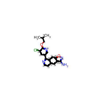 CC(C)COc1ncc(-c2nccc3cc4c(N)noc4cc23)cc1Cl